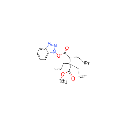 C=CCC(CC=C)(C(=O)OC(C)(C)C)[C@@H](CC(C)C)C(=O)On1nnc2ccccc21